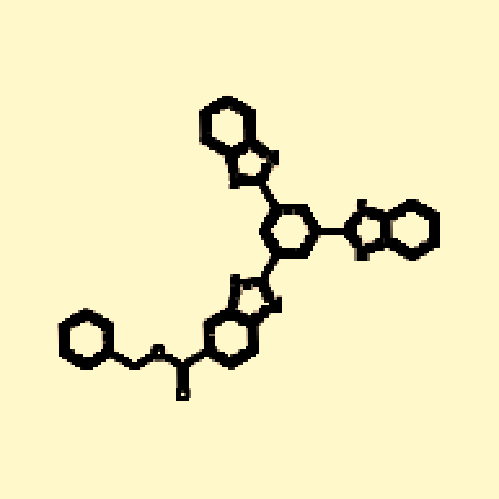 O=C(OCc1ccccc1)c1ccc2nc(-c3cc(-c4nc5ccccc5s4)cc(-c4nc5ccccc5s4)c3)sc2c1